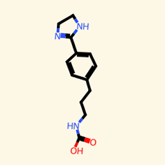 O=C(O)NCCCc1ccc(C2=NCCN2)cc1